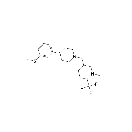 CSc1cccc(N2CCN(CC3CCC(C(F)(F)F)N(C)C3)CC2)c1